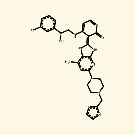 Cc1nc(N2CCN(Cc3nccs3)CC2)nc2c1N/C(=C1/C(=O)N=CC=C1NC[C@@H](O)c1cccc(Cl)c1)N2